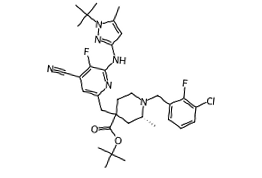 Cc1cc(Nc2nc(CC3(C(=O)OC(C)(C)C)CCN(Cc4cccc(Cl)c4F)[C@H](C)C3)cc(C#N)c2F)nn1C(C)(C)C